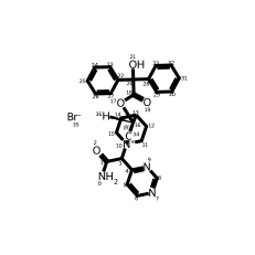 NC(=O)C(c1ccncn1)[N+]12CCC(CC1)[C@@H](OC(=O)C(O)(c1ccccc1)c1ccccc1)C2.[Br-]